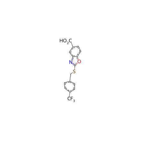 O=C(O)c1ccc2oc(SCc3ccc(C(F)(F)F)cc3)nc2c1